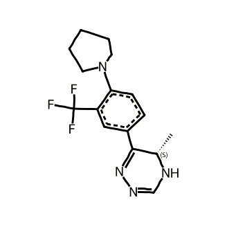 C[C@@H]1NC=NN=C1c1ccc(N2CCCCC2)c(C(F)(F)F)c1